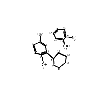 Oc1ccc(Br)cc1C1CCCCC1.Oc1ccccc1Br